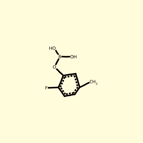 Cc1ccc(F)c(OB(O)O)c1